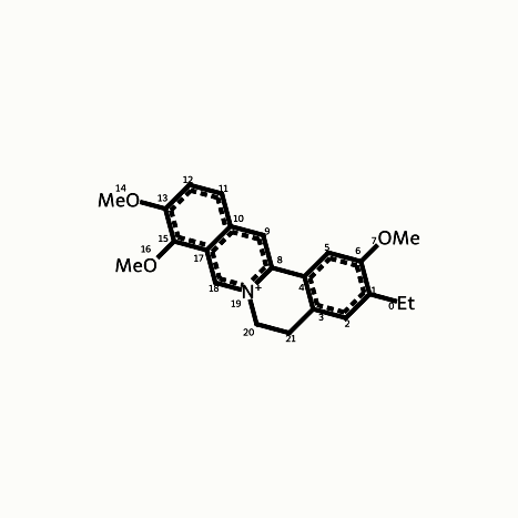 CCc1cc2c(cc1OC)-c1cc3ccc(OC)c(OC)c3c[n+]1CC2